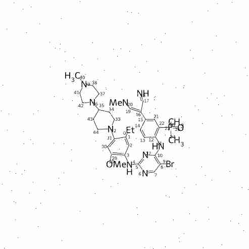 CCc1cc(Nc2ncc(Br)c(Nc3ccc(/C(C=N)=C/NC)cc3P(C)(C)=O)n2)c(OC)cc1N1CCC(N2CCN(C)CC2)CC1